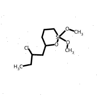 CCC(Cl)CC1CCC[Si](OC)(OC)O1